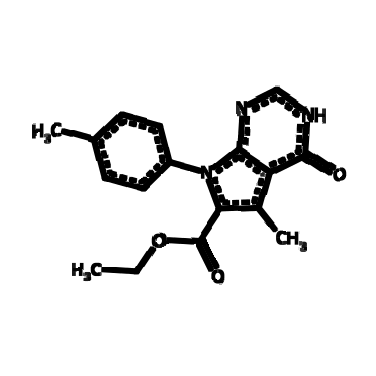 CCOC(=O)c1c(C)c2c(=O)[nH]cnc2n1-c1ccc(C)cc1